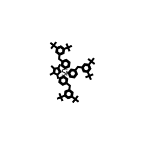 CC1=C(C)C(C)C([Si](c2cccc(Cc3cc(C(C)(C)C)cc(C(C)(C)C)c3)c2)(c2cccc(Cc3cc(C(C)(C)C)cc(C(C)(C)C)c3)c2)c2cccc(Cc3cc(C(C)(C)C)cc(C(C)(C)C)c3)c2)=C1C